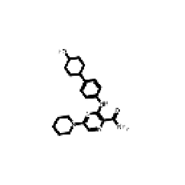 NC(=O)c1ncc(N2CCCCC2)nc1Nc1ccc(C2CCC(O)CC2)cc1